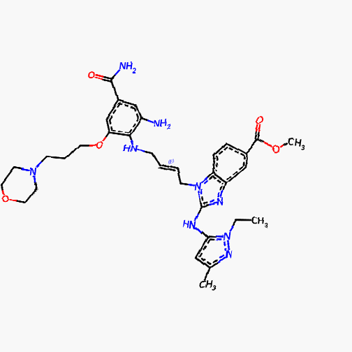 CCn1nc(C)cc1Nc1nc2cc(C(=O)OC)ccc2n1C/C=C/CNc1c(N)cc(C(N)=O)cc1OCCCN1CCOCC1